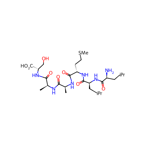 CSCC[C@H](NC(=O)[C@H](CC(C)C)NC(=O)[C@@H](N)CC(C)C)C(=O)N[C@@H](C)C(=O)N[C@@H](C)C(=O)N[C@@H](CO)C(=O)O